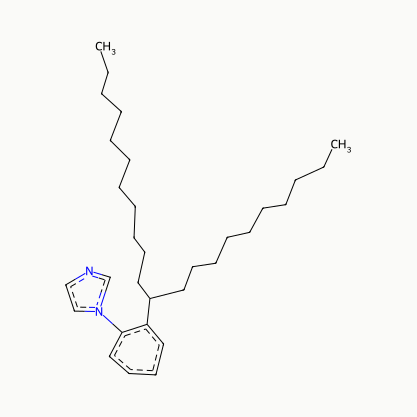 CCCCCCCCCCCC(CCCCCCCCCC)c1ccccc1-n1ccnc1